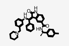 Cc1ccc([C@@H](C)NC(=O)c2ccc3c(c2)/C(=C(/Nc2cccc(CN4CCCCC4)c2)c2ccccc2)C(=O)N3)cc1